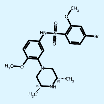 COc1ccc(NS(=O)(=O)c2ccc(Br)cc2OC)cc1N1C[C@@H](C)N[C@@H](C)C1